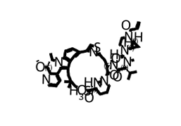 C=CC(=O)N1CCN(C(=O)N(C)[C@H](C(=O)N[C@H]2Cc3nc(cs3)-c3ccc4c(c3)c(c(-c3cccnc3[C@H](C)OC)n4CC)CC(C)(C)COC(=O)[C@@]3([SiH3])CCCN(N3)C2=O)C(C)C)[C@H]2C[C@H]21